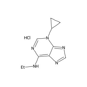 CCNc1ncn(C2CC2)c2ncnc1-2.Cl